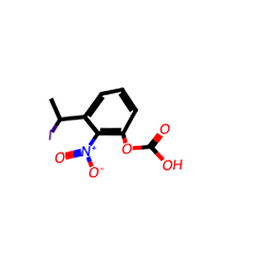 CC(I)c1cccc(OC(=O)O)c1[N+](=O)[O-]